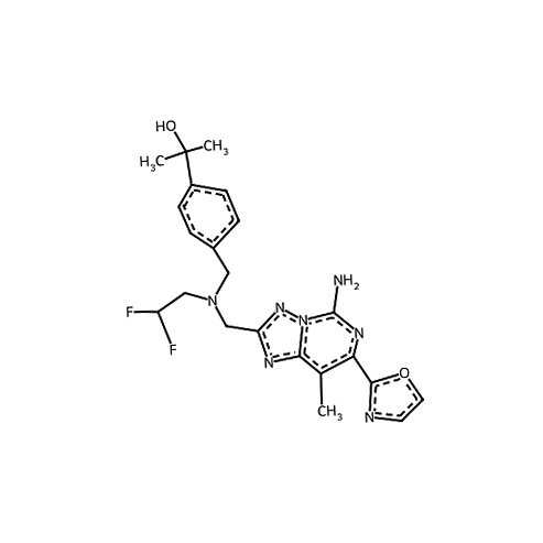 Cc1c(-c2ncco2)nc(N)n2nc(CN(Cc3ccc(C(C)(C)O)cc3)CC(F)F)nc12